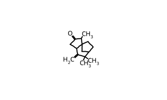 C=C1C2CC(=O)C(C)C23CCC(C3)C1(C)C